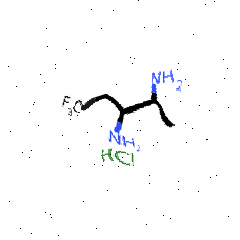 CC(N)C(N)CC(F)(F)F.Cl